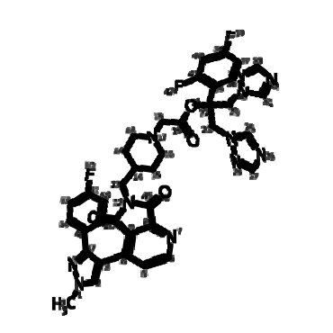 Cn1cc(-c2ccnc3c2C(=O)N(CC2CCN(CC(=O)OC(Cn4cncn4)(Cn4cncn4)c4ccc(F)cc4F)CC2)C3=O)c(-c2ccc(F)cc2)n1